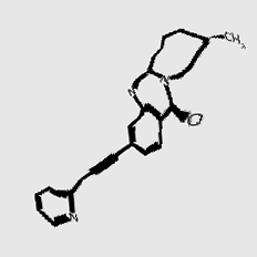 C[C@@H]1CCCc2nc3cc(C#Cc4ccccn4)ccc3c(=O)n2C1